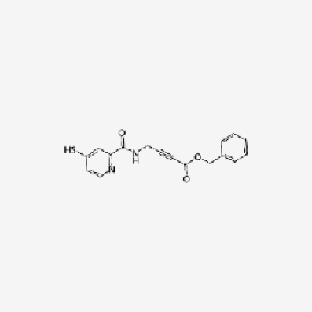 O=C(C#CCNC(=O)c1cc(S)ccn1)OCc1ccccc1